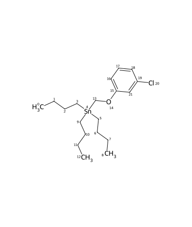 CCC[CH2][Sn]([CH2]CCC)([CH2]CCC)[CH2]Oc1cccc(Cl)c1